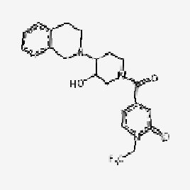 O=C(c1ccn(CC(F)(F)F)c(=O)c1)N1CCC(N2CCc3ccccc3C2)C(O)C1